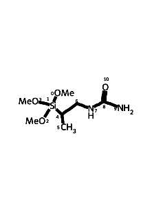 CO[Si](OC)(OC)C(C)CNC(N)=O